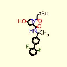 CC(NC(=O)C1C[C@@H](O)CN1C(=O)CC(C)(C)C)c1ccc(-c2c(F)cccc2F)cc1